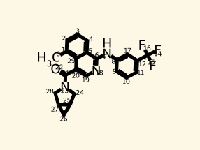 Cc1cccc2c(Nc3cccc(C(F)(F)F)c3)ncc(C(=O)N3CC4CC4C3)c12